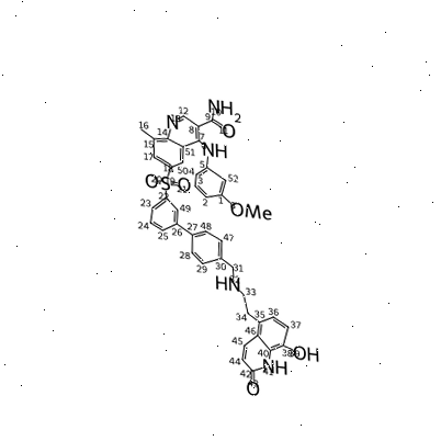 COc1cccc(Nc2c(C(N)=O)cnc3c(C)cc(S(=O)(=O)c4cccc(-c5ccc(CNCCc6ccc(O)c7[nH]c(=O)ccc67)cc5)c4)cc23)c1